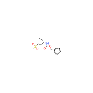 CC[C@@H](CCS(C)(=O)=O)NC(=O)OCc1ccccc1